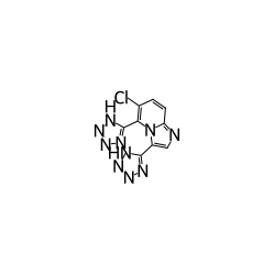 Clc1ccc2ncc(-c3nnn[nH]3)n2c1-c1nnn[nH]1